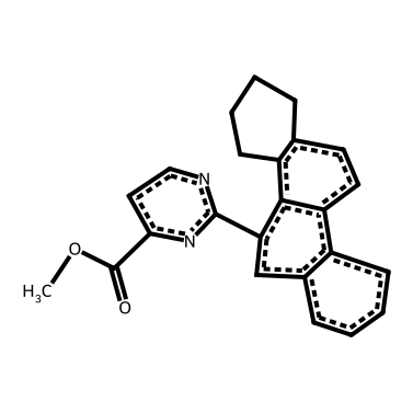 COC(=O)c1ccnc(-c2cc3ccccc3c3ccc4c(c23)CCCC4)n1